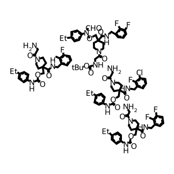 CCc1ccc(N(C=O)OCC2(C(=O)NCc3cccc(F)c3F)CCN(C(=O)CNC(=O)OC(C)(C)C)CC2)cc1.CCc1ccc(NC(=O)OCC2(C(=O)NCc3cccc(Cl)c3F)CCN(C(=O)CN)CC2)cc1.CCc1ccc(NC(=O)OCC2(C(=O)NCc3cccc(F)c3C)CCN(C(=O)CN)CC2)cc1.CCc1ccc(NC(=O)OCC2(C(=O)NCc3cccc(F)c3F)CCN(C(=O)CN)CC2)cc1